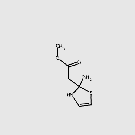 COC(=O)CC1(N)NC=CS1